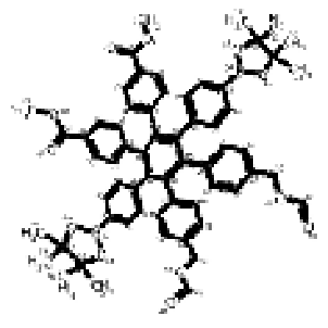 COC(=O)c1ccc(-c2c(-c3ccc(B4OC(C)(C)C(C)(C)O4)cc3)c(-c3ccc(COC=O)cc3)c(-c3ccc(COC=O)cc3)c(-c3ccc(B4OC(C)(C)C(C)(C)O4)cc3)c2-c2ccc(C(=O)OC)cc2)cc1